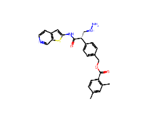 Cc1ccc(C(=O)OCc2ccc([C@@H](CNN)C(=O)Nc3cc4ccncc4s3)cc2)c(C)c1